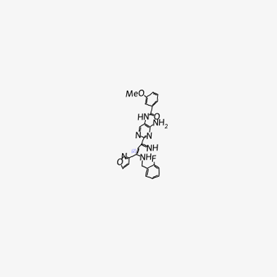 COc1cccc(C(=O)Nc2cnc(C(=N)/C=C(\NCc3ccccc3F)c3ccon3)nc2N)c1